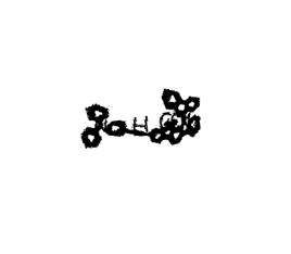 CC1(C)c2cc(C#Cc3ccc(N(c4ccccc4)c4ccccc4)cc3)ccc2-c2ccc3c4ccccc4n(-c4cc5ccccc5c5ccccc45)c3c21